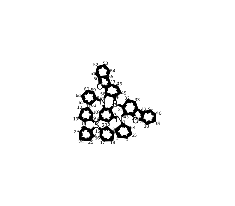 c1ccc(N2c3cc(S(c4ccccc4)(c4ccccc4)c4ccccc4)cc4c3B(c3ccc5c(oc6ccccc65)c32)c2ccc3c(oc5ccccc53)c2N4c2ccccc2)cc1